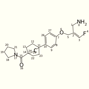 NC/C(=C\F)COc1ccc(C23CCC(C(=O)N4CCCC4)(CC2)CC3)cc1